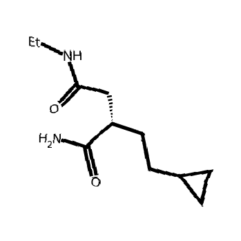 CCNC(=O)C[C@H](CCC1CC1)C(N)=O